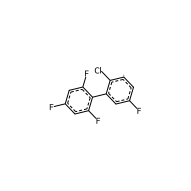 Fc1cc(F)c(-c2cc(F)c[c]c2Cl)c(F)c1